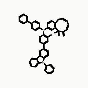 C=C1/C=C\C=C/Cc2ccc(N(c3ccc(-c4ccccc4)cc3)c3ccc(-c4ccc5c(c4)c4ccccc4n5-c4ccccc4)cc3C)cc2C1(C)C